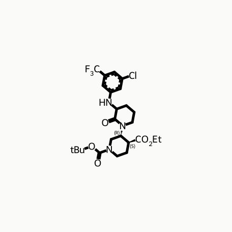 CCOC(=O)[C@H]1CCN(C(=O)OC(C)(C)C)C[C@@H]1N1CCCC(Nc2cc(Cl)cc(C(F)(F)F)c2)C1=O